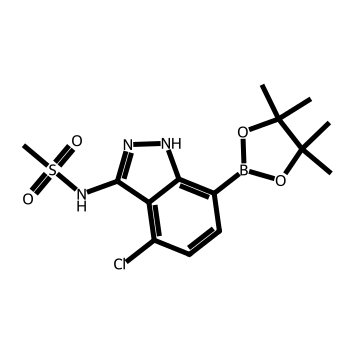 CC1(C)OB(c2ccc(Cl)c3c(NS(C)(=O)=O)n[nH]c23)OC1(C)C